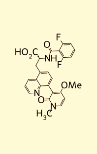 COc1ccn(C)c(=O)c1-c1ccc(C[C@H](NC(=O)c2c(F)cccc2F)C(=O)O)c2cccnc12